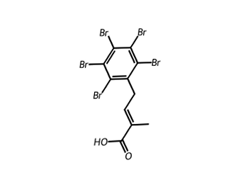 C/C(=C\Cc1c(Br)c(Br)c(Br)c(Br)c1Br)C(=O)O